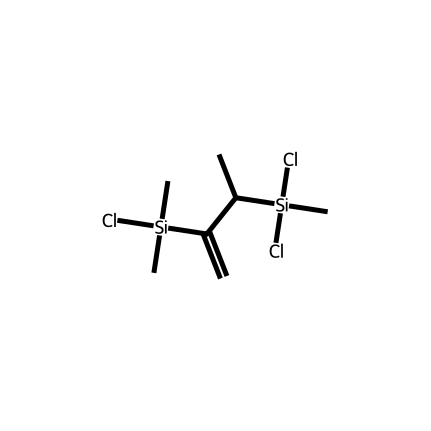 C=C(C(C)[Si](C)(Cl)Cl)[Si](C)(C)Cl